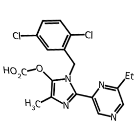 CCc1cncc(-c2nc(C)c(OC(=O)O)n2Cc2cc(Cl)ccc2Cl)n1